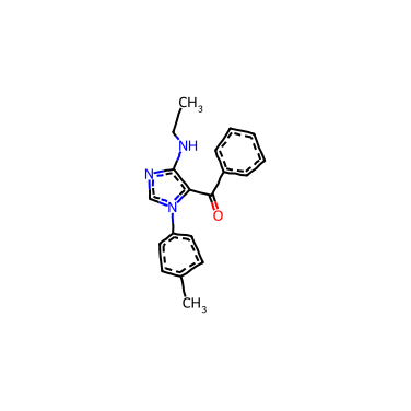 CCNc1ncn(-c2ccc(C)cc2)c1C(=O)c1ccccc1